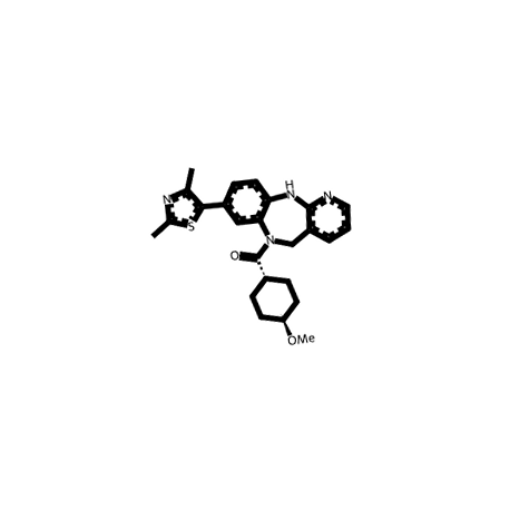 CO[C@H]1CC[C@H](C(=O)N2Cc3cccnc3Nc3ccc(-c4sc(C)nc4C)cc32)CC1